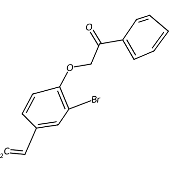 C=Cc1ccc(OCC(=O)c2ccccc2)c(Br)c1